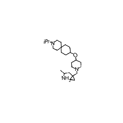 CC(N)CC1(CN2CCC(OC3CCC4(CC3)CCN(C(C)C)CC4)CC2)CC1